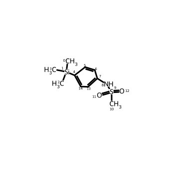 C[Si](C)(C)c1ccc(NS(C)(=O)=O)cc1